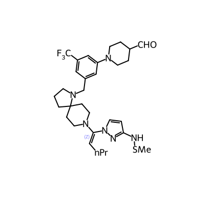 CCC/C=C(/N1CCC2(CCCN2Cc2cc(N3CCC(C=O)CC3)cc(C(F)(F)F)c2)CC1)n1ccc(NSC)n1